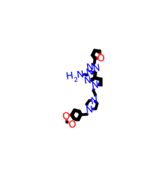 Nc1nc2c(ccn2CCN2CCN(Cc3ccc4c(c3)OCO4)CC2)c2nc(-c3ccco3)nn12